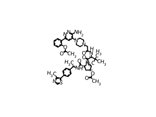 CC(=O)Oc1ccccc1-c1cc(N2CCN(CC(=O)N[C@H](C(=O)N3C[C@H](OC(C)=O)C[C@H]3C(=O)N[C@@H](C)c3ccc(-c4scnc4C)cc3)C(C)(C)C)CC2)c(N)nn1